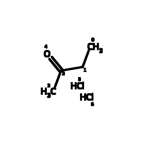 CCC(C)=O.Cl.Cl